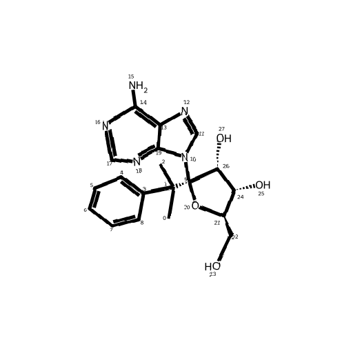 CC(C)(c1ccccc1)[C@@]1(n2cnc3c(N)ncnc32)O[C@H](CO)[C@@H](O)[C@H]1O